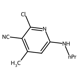 CCCNc1cc(C)c(C#N)c(Cl)n1